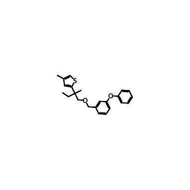 CCC(C)(COCc1cccc(Oc2ccccc2)c1)c1cc(C)cs1